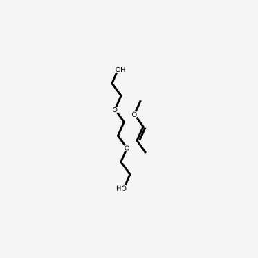 CC=COC.OCCOCCOCCO